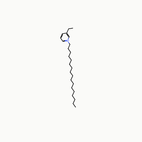 CCCCCCCCCCCCCCCCC[n+]1cccc(CC)c1